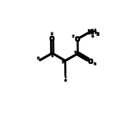 CC(=O)C(I)C(=O)ON